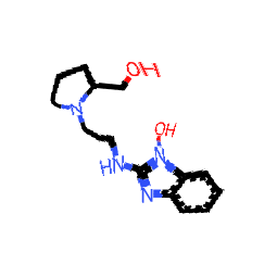 OCC1CCCN1CCNc1nc2ccccc2n1O